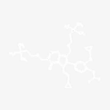 C[Si](C)(C)CCOCn1ncc2c(c(C=CC3CC3)c(-c3ccc(OC(F)F)c(OC4CC4)c3)n2COCC[Si](C)(C)C)c1=O